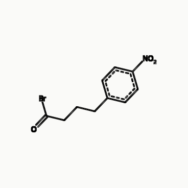 O=C(Br)CCCc1ccc([N+](=O)[O-])cc1